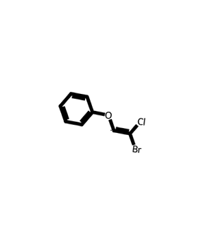 Cl/C(Br)=[C]\Oc1ccccc1